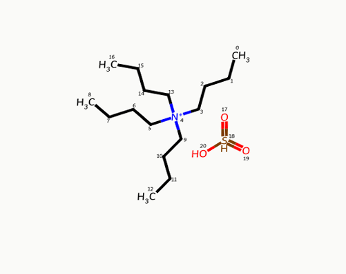 CCCC[N+](CCCC)(CCCC)CCCC.O=[SH](=O)O